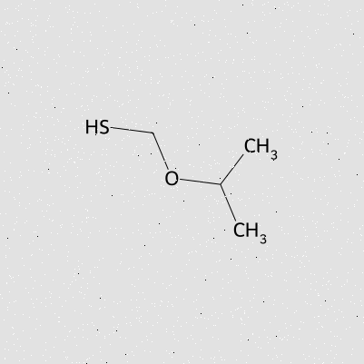 CC(C)OCS